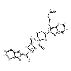 COCCCn1c(C2CCCN(C(=O)[C@@H]3CN(C(=O)c4cc5ccccc5o4)C[C@H]3N)C2)nc2ccccc21